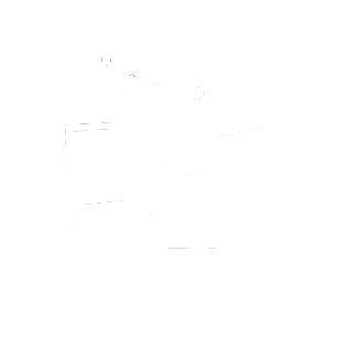 CC(=O)c1ccc(C)cc1.CC(=O)c1ccc(C)cc1